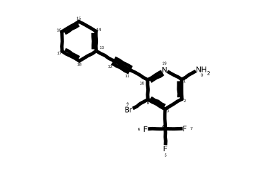 Nc1cc(C(F)(F)F)c(Br)c(C#Cc2ccccc2)n1